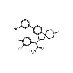 CN1CCC2(CC1)CN(N(C(N)=O)c1ccc(F)c(Cl)c1)c1cc(-c3cccc(C#N)c3)ccc12